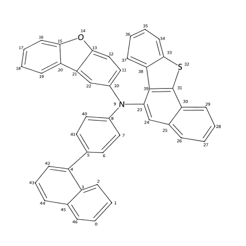 c1ccc2c(-c3ccc(N(c4ccc5oc6ccccc6c5c4)c4cc5ccccc5c5sc6ccccc6c45)cc3)cccc2c1